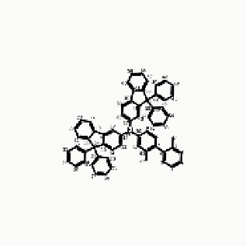 Cc1ccccc1-c1ccc(N(c2ccc3c(c2)-c2ccccc2C3(c2ccccc2)c2ccccc2)c2ccc3c(c2)C(c2ccccc2)(c2ccccc2)c2ccccc2-3)cc1C